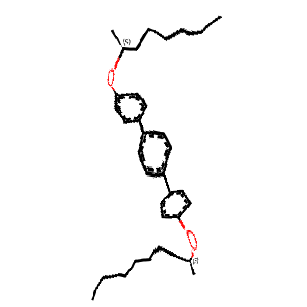 CCCCCC[C@H](C)Oc1ccc(-c2ccc(-c3ccc(O[C@@H](C)CCCCCC)cc3)cc2)cc1